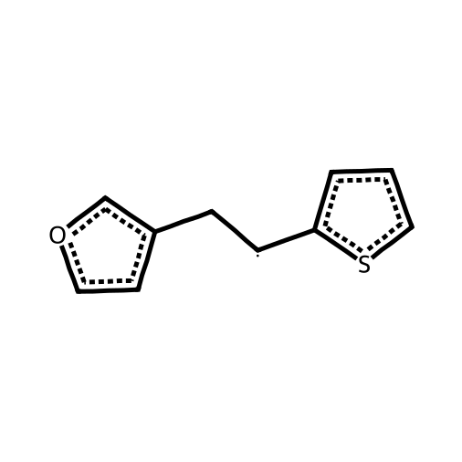 [CH](Cc1ccoc1)c1cccs1